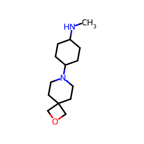 CNC1CCC(N2CCC3(CC2)COC3)CC1